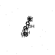 Cc1nnn(-c2ccc(-c3ccc(O[C@H]4C[C@H]5CC[C@@H](C4)N5)nn3)c(O)c2)n1